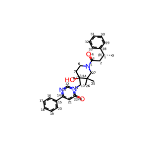 C[C@H](CC(=O)N1CC[C@@](O)(Cn2cnc(-c3ccccc3)cc2=O)C(C)(C)C1)c1ccccc1